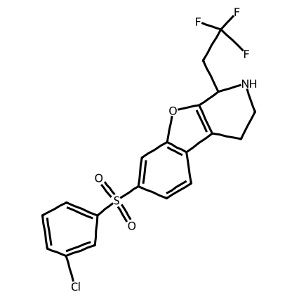 O=S(=O)(c1cccc(Cl)c1)c1ccc2c3c(oc2c1)C(CC(F)(F)F)NCC3